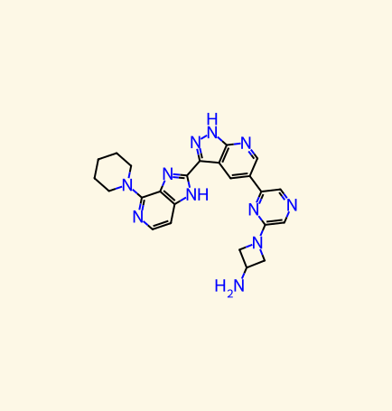 NC1CN(c2cncc(-c3cnc4[nH]nc(-c5nc6c(N7CCCCC7)nccc6[nH]5)c4c3)n2)C1